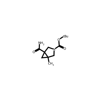 CC(C)(C)OC(=O)N1CC2(C)CC2(C(N)=O)C1